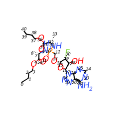 CCCCOC(=O)[C@H](C)NP(=O)(CO[C@H]1O[C@@H](n2nnc3c(N)ncnc32)[C@H](O)[C@@H]1F)N[C@@H](C)C(=O)OCCCC